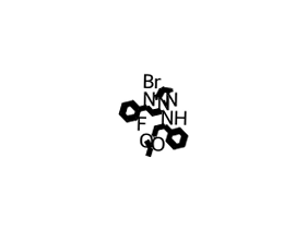 CC1OC(CC(Nc2cc(-c3ccccc3F)nc3c(Br)cnn23)c2ccccc2)O1